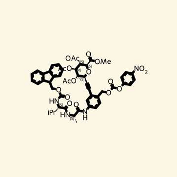 COC(=O)[C@H]1O[C@@H](C#Cc2cc(NC(=O)[C@H](C)NC(=O)[C@@H](NC(=O)OCC3c4ccccc4-c4ccccc43)C(C)C)ccc2COC(=O)Oc2ccc([N+](=O)[O-])cc2)[C@H](OC(C)=O)[C@@H](OC(C)=O)[C@@H]1OC(C)=O